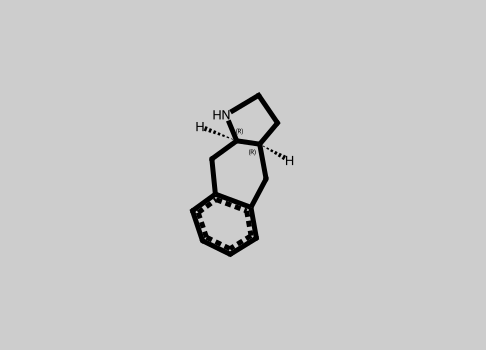 c1ccc2c(c1)C[C@@H]1CCN[C@@H]1C2